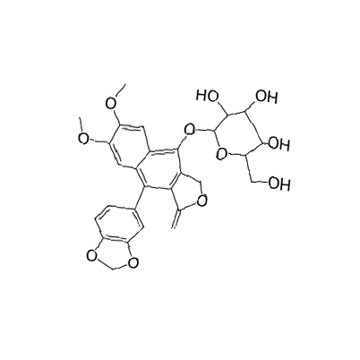 C=C1OCc2c1c(-c1ccc3c(c1)OCO3)c1cc(OC)c(OC)cc1c2OC1OC(CO)C(O)C(O)C1O